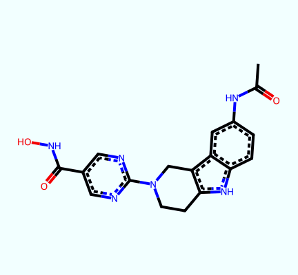 CC(=O)Nc1ccc2[nH]c3c(c2c1)CN(c1ncc(C(=O)NO)cn1)CC3